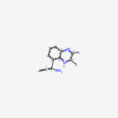 C=C=C(N)c1cccc2nc(C)c(C)nc12